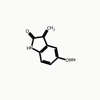 C=C1C(=O)Nc2ccc(OC)cc21